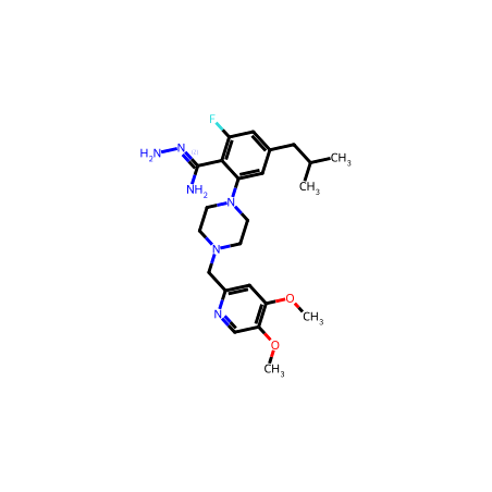 COc1cnc(CN2CCN(c3cc(CC(C)C)cc(F)c3/C(N)=N/N)CC2)cc1OC